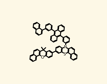 CC1(C)c2cc(-c3ccc4c(c3)Sc3c(ccc5ccccc35)N4c3cccc(-c4c5ccccc5c(-c5cccc(-c6cccc7ccccc67)c5)c5ccccc45)c3)ccc2Oc2c1ccc1ccccc21